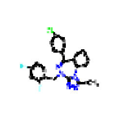 Cc1nnc2n1-c1ccccc1C(c1ccc(Cl)cc1)=NN2Cc1ccc(F)cc1F